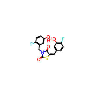 O=C1SC(=Cc2ccc(F)c(O)c2)C(=O)N1Cc1cc(O)ccc1F